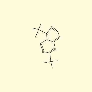 CC(C)(C)c1ncc2c(C(C)(C)C)cccc2n1